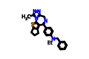 CCN(Cc1ccccc1)c1ccc(C2=NCc3nnc(C)n3-c3sc4c(c32)CCC4)cc1